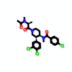 CC(=O)N(C)[C@@H](C)C(=O)N1CC[C@@H](N(C)C(=O)c2ccc(Cl)cc2)[C@H](c2ccc(Cl)c(Cl)c2)C1